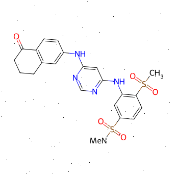 CNS(=O)(=O)c1ccc(S(C)(=O)=O)c(Nc2cc(Nc3ccc4c(c3)CCCC4=O)ncn2)c1